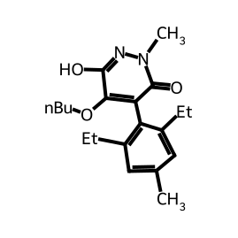 CCCCOc1c(O)nn(C)c(=O)c1-c1c(CC)cc(C)cc1CC